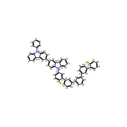 c1ccc(-n2c3ccccc3c3cc(-c4ccc5c(c4)c4ccccc4n5-c4ccc5sc6ccc(-c7cccc(-c8ccc9sc%10ccccc%10c9c8)c7)cc6c5c4)ccc32)cc1